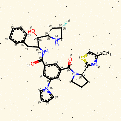 Cc1csc([C@H]2CCCN2C(=O)c2cc(C(=O)NC(Cc3ccccc3)[C@H](O)[C@@H]3C[C@H](F)CN3)cc(-n3cccc3)c2)n1